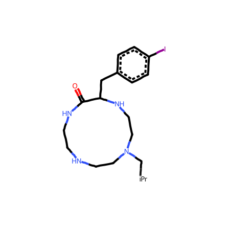 CC(C)CN1CCNCCNC(=O)C(Cc2ccc(I)cc2)NCC1